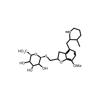 COc1ccc(CC2C(C)CCCN2C)c2c1OC(CS[C@@H]1O[C@H](C(=O)O)C(O)[C@H](O)C1O)C2